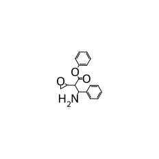 NC(c1ccccc1)C(C(=O)Oc1ccccc1)C1CO1